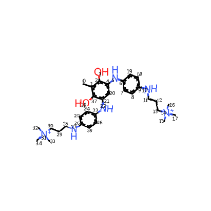 Cc1c(O)c(Nc2ccc(NCCC[N+](C)(C)C)cc2)cc(Nc2ccc(NCCC[N+](C)(C)C)cc2)c1O